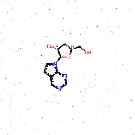 OC[C@@H]1C[C@@H](O)C(n2ccc3cncnc32)O1